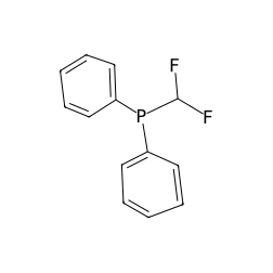 FC(F)P(c1ccccc1)c1ccccc1